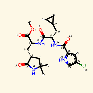 COC(=O)[C@H](C[C@@H]1CC(C)(C)NC1=O)NC(=O)[C@H](CC1CC1)NC(=O)c1cc(Cl)c[nH]1